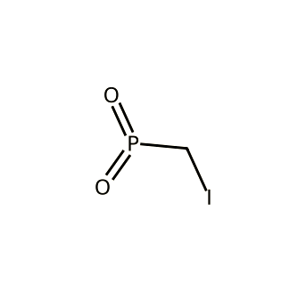 O=P(=O)CI